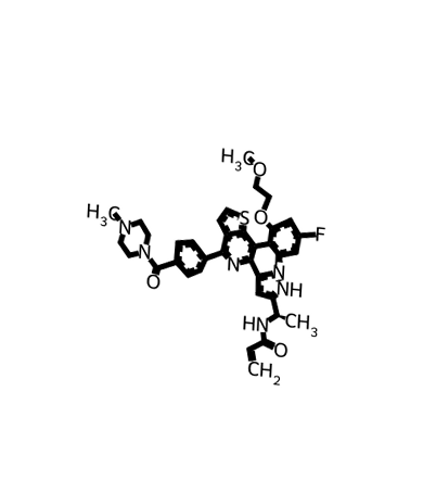 C=CC(=O)N[C@H](C)c1cc(-c2nc(-c3ccc(C(=O)N4CCN(C)CC4)cc3)c3ccsc3c2-c2c(F)cc(F)cc2OCCOC)n[nH]1